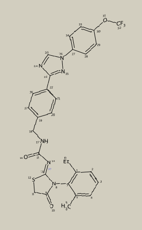 CCc1cccc(C)c1N1C(=O)CS/C1=N\C(=O)NCc1ccc(-c2ncn(-c3ccc(OC(F)(F)F)cc3)n2)cc1